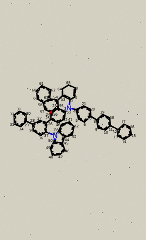 C1=CC(N(c2ccc(-c3ccc(-c4ccccc4)cc3)cc2)c2ccc(-c3cc(-c4ccccc4)ccc3-n3c4ccccc4c4ccccc43)cc2)=C(c2cccc3ccccc23)CC1